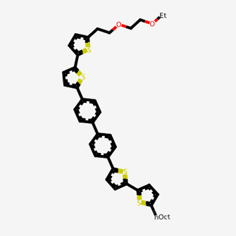 CCCCCCCCc1ccc(-c2ccc(-c3ccc(-c4ccc(-c5ccc(-c6ccc(CCOCCOCC)s6)s5)cc4)cc3)s2)s1